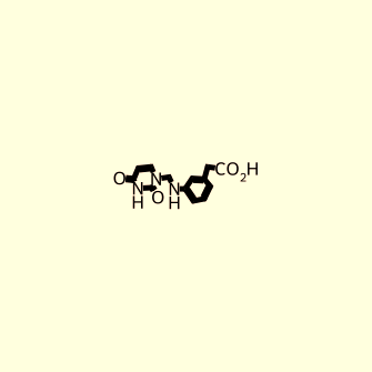 O=C(O)Cc1cccc(NCn2ccc(=O)[nH]c2=O)c1